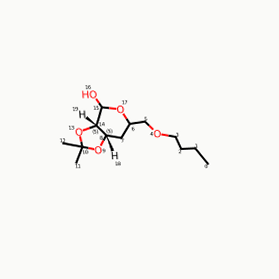 CCCCOCC1C[C@@H]2OC(C)(C)O[C@@H]2C(O)O1